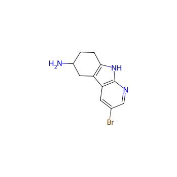 NC1CCc2[nH]c3ncc(Br)cc3c2C1